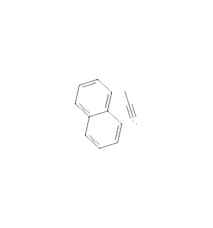 N#CCl.c1ccc2ccccc2c1